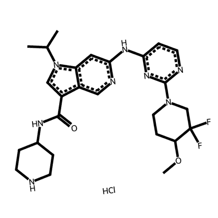 COC1CCN(c2nccc(Nc3cc4c(cn3)c(C(=O)NC3CCNCC3)cn4C(C)C)n2)CC1(F)F.Cl